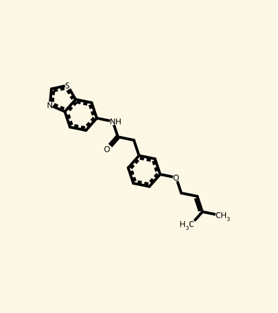 CC(C)=CCOc1cccc(CC(=O)Nc2ccc3ncsc3c2)c1